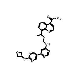 CNC(=O)c1ccnc2c(C(C)CCNc3cc(-c4cnc(OC5COC5)nc4)ncn3)cccc12